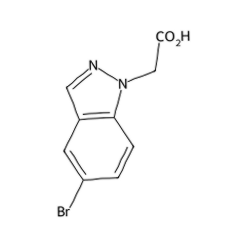 O=C(O)Cn1ncc2cc(Br)ccc21